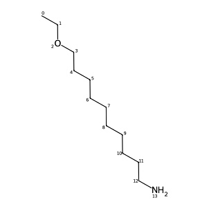 CCOCCCCCCCCCCN